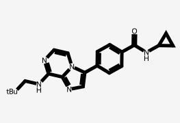 CC(C)(C)CNc1nccn2c(-c3ccc(C(=O)NC4CC4)cc3)cnc12